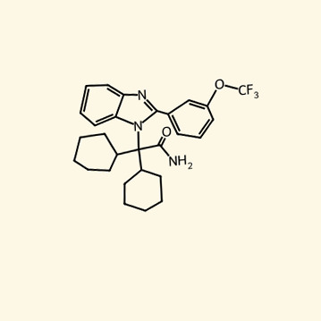 NC(=O)C(C1CCCCC1)(C1CCCCC1)n1c(-c2cccc(OC(F)(F)F)c2)nc2ccccc21